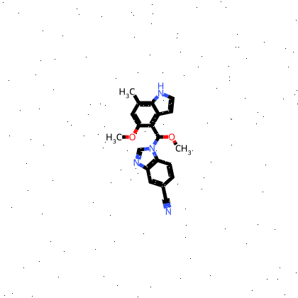 COc1cc(C)c2[nH]ccc2c1C(OC)n1cnc2cc(C#N)ccc21